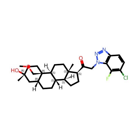 COC[C@]12CC[C@@](C)(O)C[C@H]1CC[C@H]1[C@@H]3CC[C@H](C(=O)Cn4nnc5ccc(Cl)c(F)c54)[C@@]3(C)CC[C@@H]12